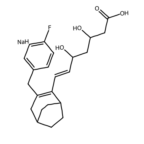 O=C(O)CC(O)CC(O)/C=C/C1=C(Cc2ccc(F)cc2)CC2CCC1CC2.[NaH]